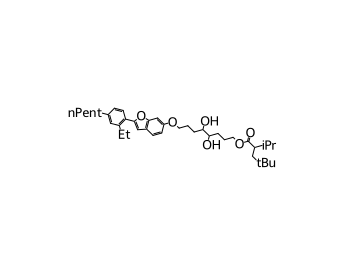 CCCCCc1ccc(-c2cc3ccc(OCCCC(O)C(O)CCCOC(=O)C(CC(C)(C)C)C(C)C)cc3o2)c(CC)c1